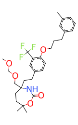 COCOCC1(CCc2ccc(OCCCc3cccc(C)c3)c(C(F)(F)F)c2)CCC(C)(C)OC(=O)N1